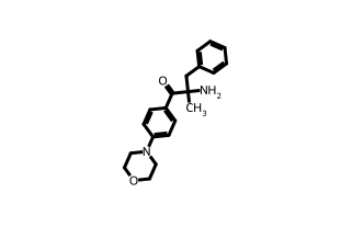 CC(N)(Cc1ccccc1)C(=O)c1ccc(N2CCOCC2)cc1